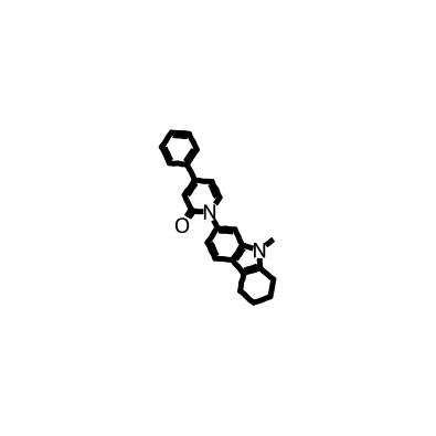 Cn1c2c(c3ccc(-n4ccc(-c5ccccc5)cc4=O)cc31)CCCC2